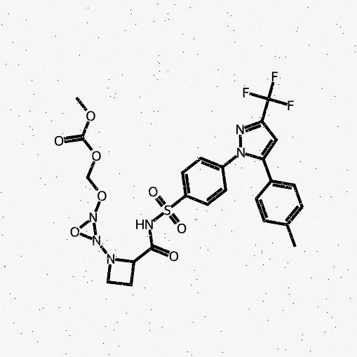 COC(=O)OCOn1on1N1CCC1C(=O)NS(=O)(=O)c1ccc(-n2nc(C(F)(F)F)cc2-c2ccc(C)cc2)cc1